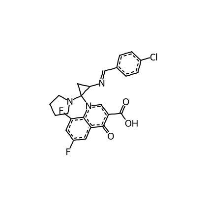 O=C(O)c1cn(C2(N3CCCC3)CC2N=Cc2ccc(Cl)cc2)c2c(F)cc(F)cc2c1=O